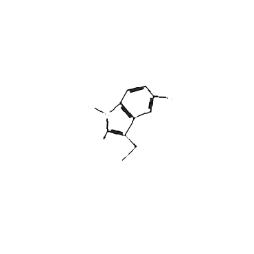 Cc1c(CC(=O)O)c2cc(Br)ccc2n1C=O